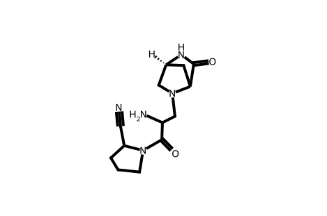 N#CC1CCCN1C(=O)C(N)CN1C[C@@H]2CC1C(=O)N2